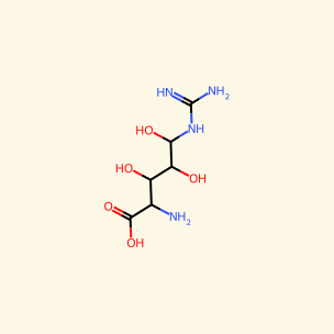 N=C(N)NC(O)C(O)C(O)C(N)C(=O)O